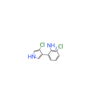 Nc1c(Cl)cccc1-c1c[nH]cc1Cl